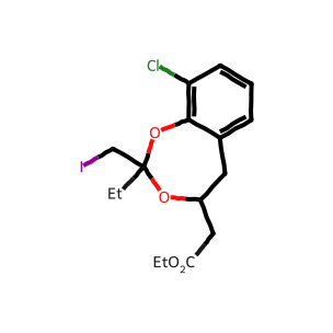 CCOC(=O)CC1Cc2cccc(Cl)c2OC(CC)(CI)O1